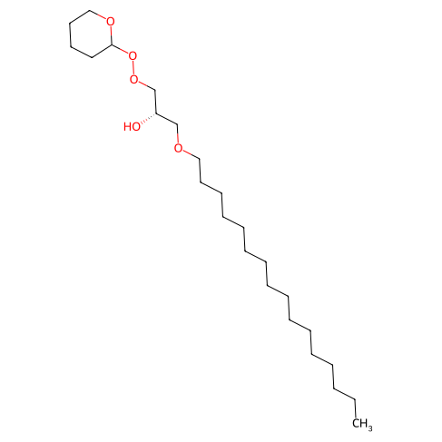 CCCCCCCCCCCCCCCCOC[C@H](O)COOC1CCCCO1